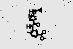 COC(=O)c1ccc(C)c(NC(=O)c2cnc(NC3CC3)s2)c1